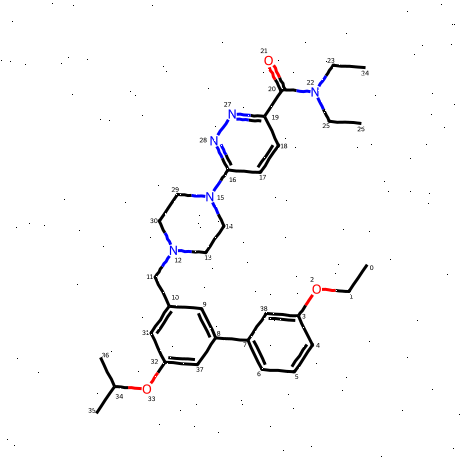 CCOc1cccc(-c2cc(CN3CCN(c4ccc(C(=O)N(CC)CC)nn4)CC3)cc(OC(C)C)c2)c1